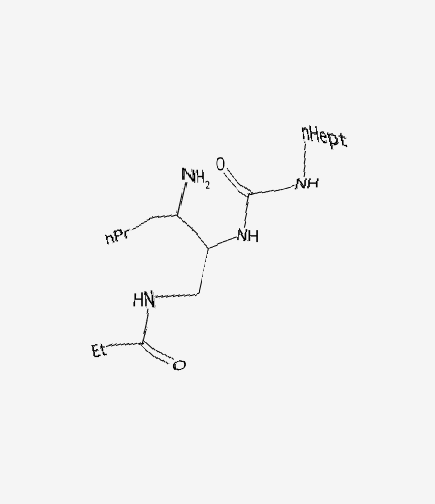 CCCCCCCNC(=O)NC(CNC(=O)CC)C(N)CCC